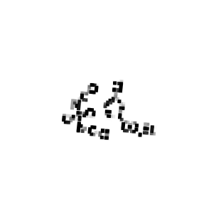 CCOC(=O)c1cc(Cl)cs1.O=C=NS(=O)(=O)N=C=O